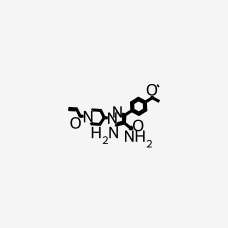 C=CC(=O)N1CCC(n2nc(-c3ccc(C(C)OC)cc3)c(C(N)=O)c2N)CC1